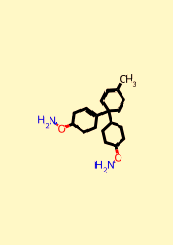 CC1CCC(C2=CCC(ON)CC2)(C2CCC(ON)CC2)CC1